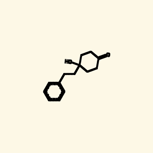 O=C1CCC(O)(CCc2ccccc2)CC1